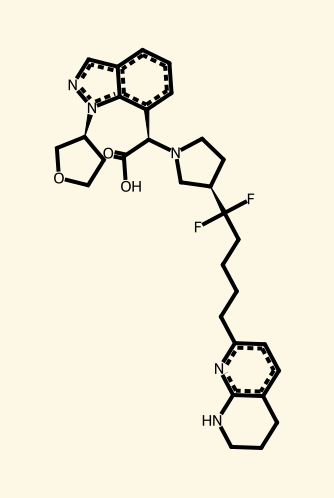 O=C(O)[C@@H](c1cccc2cnn([C@H]3CCOC3)c12)N1CC[C@@H](C(F)(F)CCCCc2ccc3c(n2)NCCC3)C1